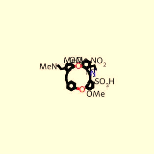 CNCCc1cc(OC)c2cc1CCc1ccc(cc1)Oc1cc(c(S(=O)(=O)O)cc1OC)C[C@H]1c3c(c([N+](=O)[O-])cc(OC)c3O2)CCN1C